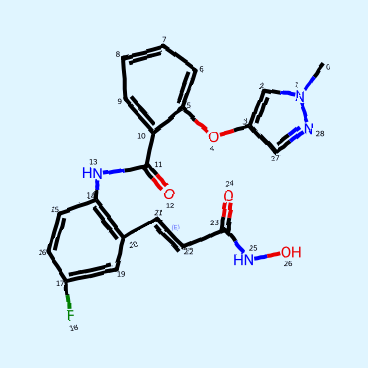 Cn1cc(Oc2ccccc2C(=O)Nc2ccc(F)cc2/C=C/C(=O)NO)cn1